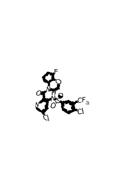 O=C(c1ncc(Cl)cc1NS(=O)(=O)c1ccc(Cl)c(C(F)(F)F)c1)N1CCOc2c(F)cccc21